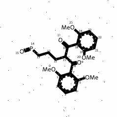 COc1cccc(OC)c1C(=O)C(CCCP=O)C(=O)c1c(OC)cccc1OC